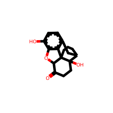 O=C1CCC2(O)C3CCCC24c2c(ccc(O)c2OC14)C3